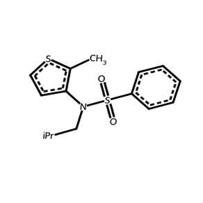 Cc1sccc1N(CC(C)C)S(=O)(=O)c1ccccc1